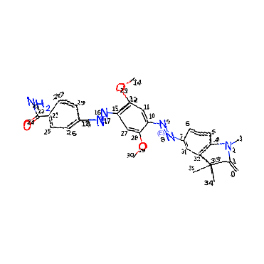 C=C1N(C)c2ccc(/N=N/c3cc(OC)c(/N=N/c4ccc(C(N)=O)cc4)cc3OC)cc2C1(C)C